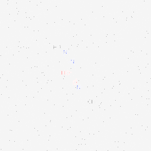 CC1CCN(OCC(O)CN2CCN(C)CC2)CC1